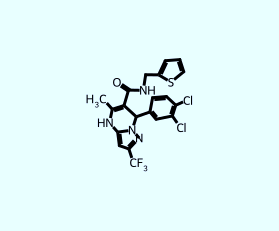 CC1=C(C(=O)NCc2cccs2)C(c2ccc(Cl)c(Cl)c2)n2nc(C(F)(F)F)cc2N1